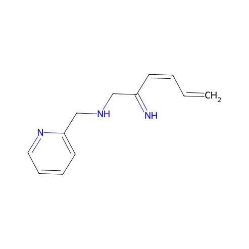 C=C/C=C\C(=N)CNCc1ccccn1